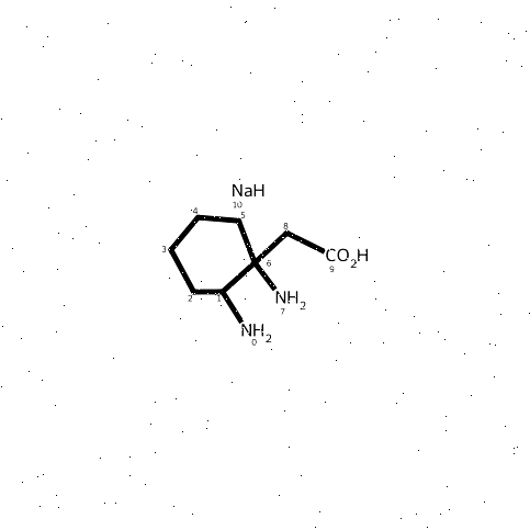 NC1CCCCC1(N)CC(=O)O.[NaH]